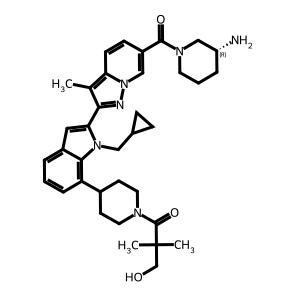 Cc1c(-c2cc3cccc(C4CCN(C(=O)C(C)(C)CO)CC4)c3n2CC2CC2)nn2cc(C(=O)N3CCC[C@@H](N)C3)ccc12